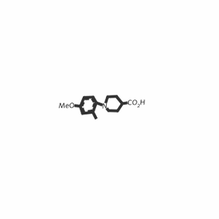 COc1ccc(N2CCC(C(=O)O)CC2)c(C)c1